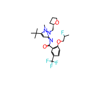 CC(F)COc1ccc(C(F)(F)F)cc1C(=O)/N=c1\cc(C(C)(C)C)n(C)n1C[C@H]1CCCO1